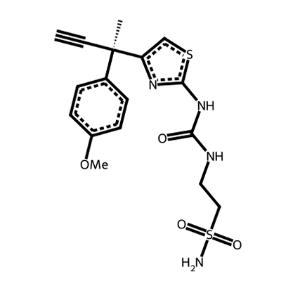 C#C[C@](C)(c1ccc(OC)cc1)c1csc(NC(=O)NCCS(N)(=O)=O)n1